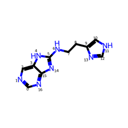 c1ncc2[nH]c(NCCc3c[nH]cn3)nc2n1